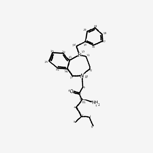 CCC(C)C[C@H](N)C(=O)CN1CCN(Cc2ccccc2)c2ccccc2C1